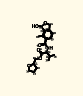 Cc1c(C(=O)N[C@H](C(=O)OCC2CCCO2)C(C)C)ccc2c1B(O)OC2